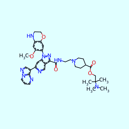 COc1cc2c(cc1-n1nc(C(=O)NCCN3CCC(C(=O)OCC(C)(C)N(C)C)CC3)c3cnc(-c4cnn5cccnc45)cc31)OCCN2